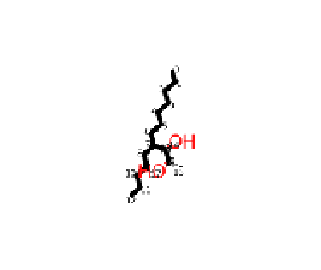 CCCCCCCC(CCCCC)[C@H](O)[C@H](C)O